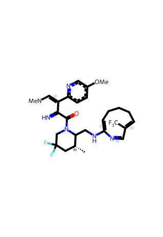 CN/C=C(\C(=N)C(=O)N1CC(F)(F)C[C@@H](C)C1CNC1=C/CCC/C=C(C(F)(F)F)/C=N\1)c1ccc(OC)cn1